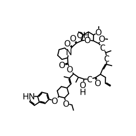 C=CCC1/C=C(\C)CC(C)CC(OC)C2OC(O)(C(=O)C(=O)N3CCCCC3C(=O)OC(C(C)=CC3CCC(Oc4ccc5[nH]ccc5c4)C(OCC)C3)C(C)C(O)CC1=O)C(C)CC2OC